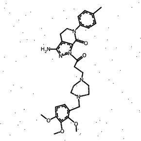 COc1ccc(CN2CCN(CCC(=O)n3nc(N)c4c3C(=O)N(c3ccc(C)cc3)CC4)CC2)c(OC)c1OC